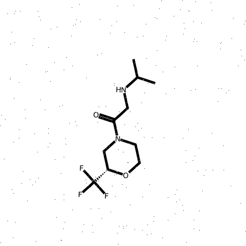 CC(C)NCC(=O)N1CCO[C@H](C(F)(F)F)C1